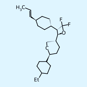 C/C=C/[C@H]1CC[C@H]([C@H]2[C@H]([C@H]3CC[C@H](C4CCC(CC)CC4)CC3)OC2(F)F)CC1